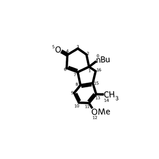 CCCCC12CCC(=O)C=C1c1ccc(OC)c(C)c1C2